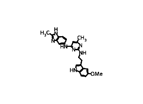 COc1ccc2[nH]cc(CCNc3nc(C)cc(Nc4ccc5[nH]c(C)nc5c4)n3)c2c1